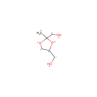 CC1(CO)OCC(CO)O1